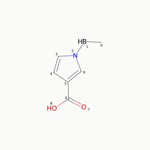 CBn1ccc(C(=O)O)c1